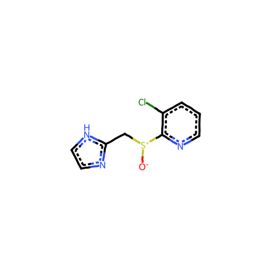 [O-][S+](Cc1ncc[nH]1)c1ncccc1Cl